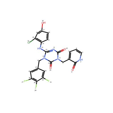 O=c1[nH]cccc1Cn1c(=O)nc(Nc2ccc(O)cc2Cl)n(Cc2cc(F)c(F)c(F)c2)c1=O